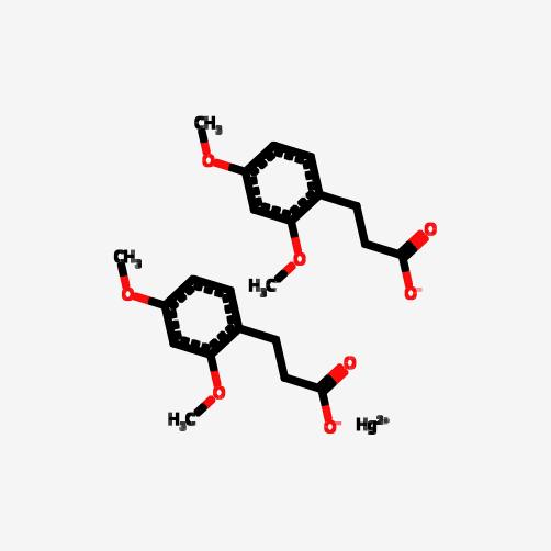 COc1ccc(CCC(=O)[O-])c(OC)c1.COc1ccc(CCC(=O)[O-])c(OC)c1.[Hg+2]